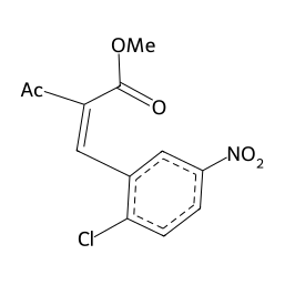 COC(=O)/C(=C\c1cc([N+](=O)[O-])ccc1Cl)C(C)=O